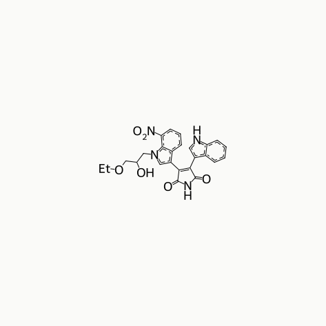 CCOCC(O)Cn1cc(C2=C(c3c[nH]c4ccccc34)C(=O)NC2=O)c2cccc([N+](=O)[O-])c21